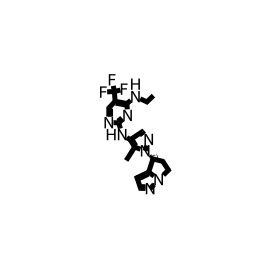 CCNc1nc(Nc2cnn([C@H]3CCn4nccc43)c2C)ncc1C(F)(F)F